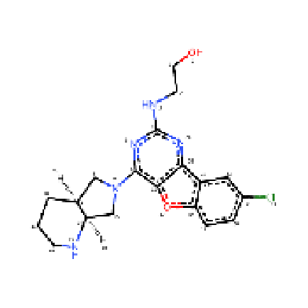 OCCNc1nc(N2C[C@@H]3CCCN[C@@H]3C2)c2oc3ccc(Cl)cc3c2n1